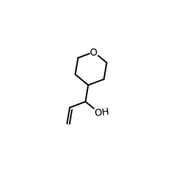 C=CC(O)C1CCOCC1